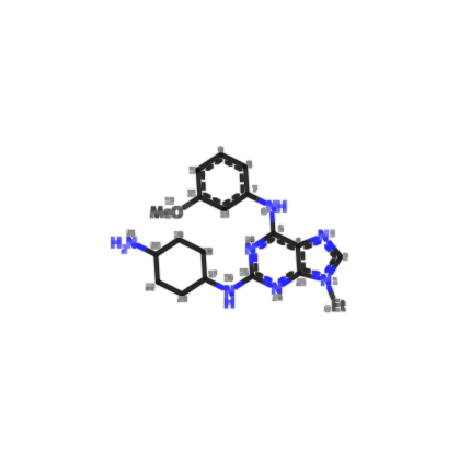 CCn1cnc2c(Nc3cccc(OC)c3)nc(NC3CCC(N)CC3)nc21